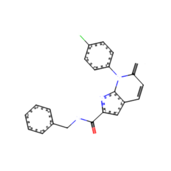 C=C1C=Cc2cc(C(=O)NCc3ccccc3)[nH]c2N1c1ccc(Cl)cc1